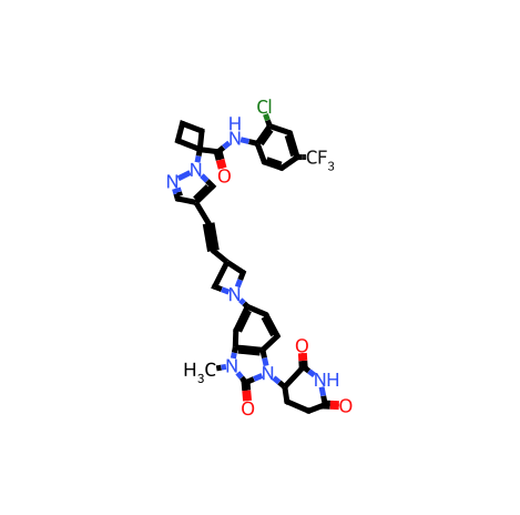 Cn1c(=O)n(C2CCC(=O)NC2=O)c2ccc(N3CC(C#Cc4cnn(C5(C(=O)Nc6ccc(C(F)(F)F)cc6Cl)CCC5)c4)C3)cc21